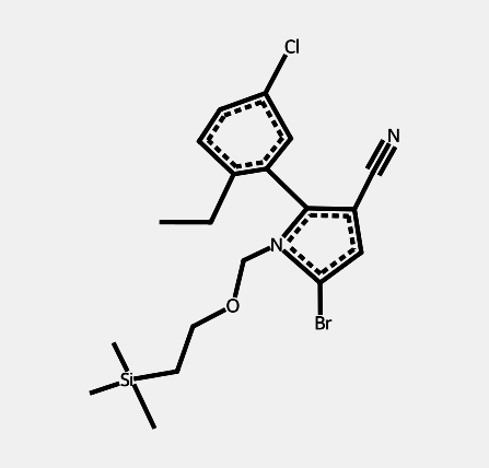 CCc1ccc(Cl)cc1-c1c(C#N)cc(Br)n1COCC[Si](C)(C)C